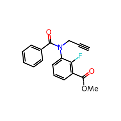 C#CCN(C(=O)c1ccccc1)c1cccc(C(=O)OC)c1F